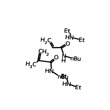 C=C(C)C(=O)NCCCC.C=CC(=O)NCCCC.CCNCC.CCNCC